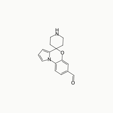 O=Cc1ccc2c(c1)OC1(CCNCC1)c1cccn1-2